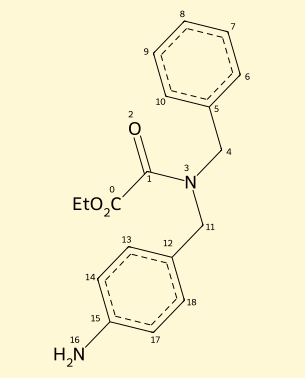 CCOC(=O)C(=O)N(Cc1ccccc1)Cc1ccc(N)cc1